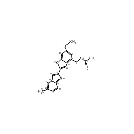 COc1cc(COS(C)=O)c2cc(-c3cn4nc(C)ccc4n3)oc2c1